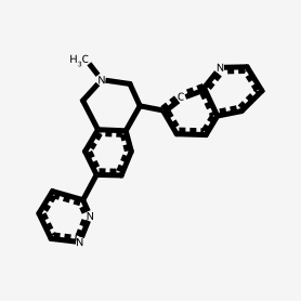 CN1Cc2cc(-c3cccnn3)ccc2C(c2ccc3cccnc3c2)C1